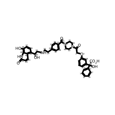 O=C(COc1cccc([C@](O)(C(=O)O)c2ccccc2)c1)N1CCN(C(=O)c2ccc(CCNC[C@H](O)c3ccc(O)c4[nH]c(=O)ccc34)cc2)CC1